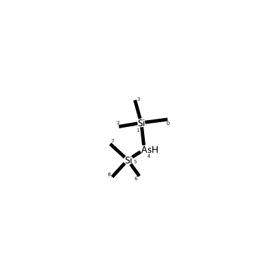 C[Si](C)(C)[AsH][Si](C)(C)C